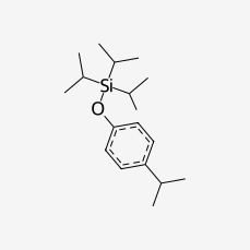 CC(C)c1ccc(O[Si](C(C)C)(C(C)C)C(C)C)cc1